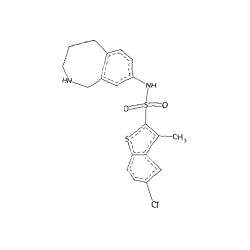 Cc1c(S(=O)(=O)Nc2ccc3c(c2)CNCCC3)sc2ccc(Cl)cc12